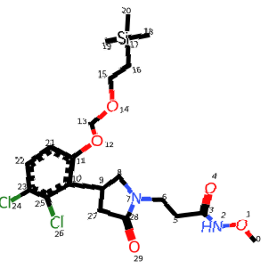 CONC(=O)CCN1CC(c2c(OCOCC[Si](C)(C)C)ccc(Cl)c2Cl)CC1=O